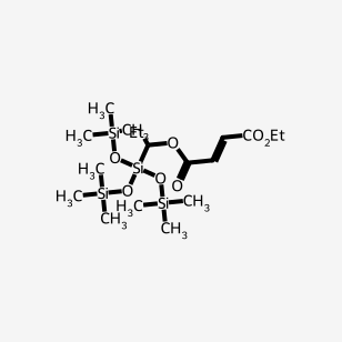 CCOC(=O)/C=C/C(=O)OC(CC)[Si](O[Si](C)(C)C)(O[Si](C)(C)C)O[Si](C)(C)C